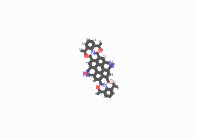 CC(C)c1cccc(C(C)C)c1N1C(=O)c2cc(C#N)c3c4c(C#N)cc5c6c(cc(C#N)c(c7c(C#N)cc(c2c37)C1=O)c64)C(=O)N(c1c(C(C)C)cccc1C(C)C)C5=O